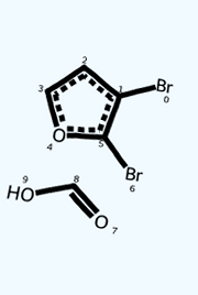 Brc1ccoc1Br.O=CO